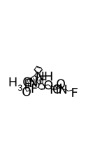 C[C@@H]1Cc2c([nH]c3ccccc23)[C@@H](c2c(F)ccc(OCCOC(=O)NCCCF)c2F)N1CC1(F)COC1